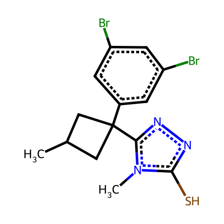 CC1CC(c2cc(Br)cc(Br)c2)(c2nnc(S)n2C)C1